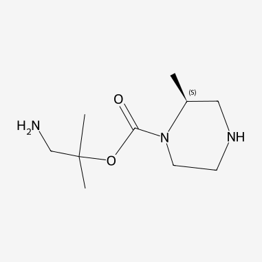 C[C@H]1CNCCN1C(=O)OC(C)(C)CN